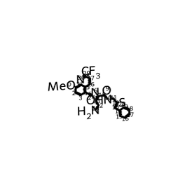 COc1ccc(-c2nc(C(=O)NCc3cc4ccccc4s3)c(CN)o2)c2ccc(C(F)(F)F)nc12